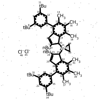 CCCCC1=Cc2c(-c3cc(C(C)(C)C)cc(C(C)(C)C)c3)c(C)c(C)c(C)c2[CH]1[Zr+2]1([CH]2C(CCCC)=Cc3c(-c4cc(C(C)(C)C)cc(C(C)(C)C)c4)c(C)c(C)c(C)c32)[CH2][CH2]1.[Cl-].[Cl-]